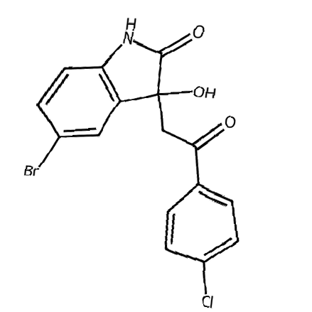 O=C(CC1(O)C(=O)Nc2ccc(Br)cc21)c1ccc(Cl)cc1